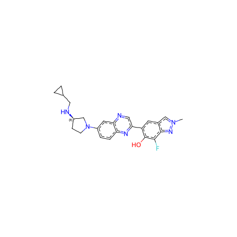 Cn1cc2cc(-c3cnc4cc(N5CC[C@@H](NCC6CC6)C5)ccc4n3)c(O)c(F)c2n1